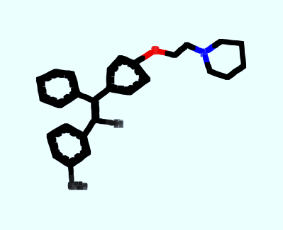 CCC(=C(c1ccccc1)c1ccc(OCCN2CCCCC2)cc1)c1cccc(OC)c1